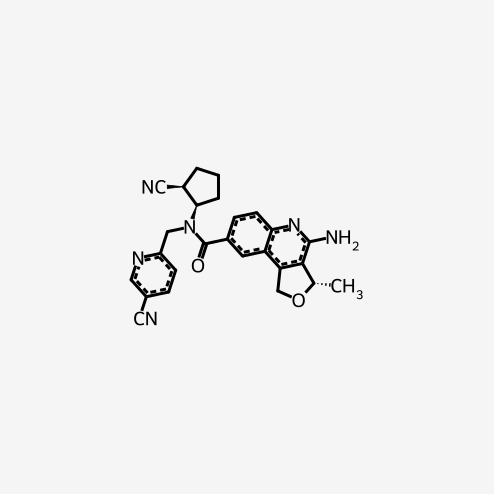 C[C@@H]1OCc2c1c(N)nc1ccc(C(=O)N(Cc3ccc(C#N)cn3)[C@@H]3CCC[C@@H]3C#N)cc21